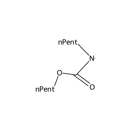 CCCCC[N]C(=O)OCCCCC